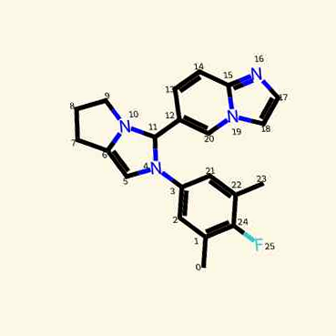 Cc1cc(N2C=C3CCCN3C2c2ccc3nccn3c2)cc(C)c1F